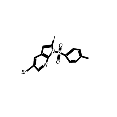 Cc1ccc(S(=O)(=O)n2c(I)cc3cc(Br)cnc32)cc1